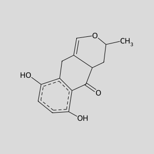 CC1CC2C(=O)c3c(O)ccc(O)c3CC2=CO1